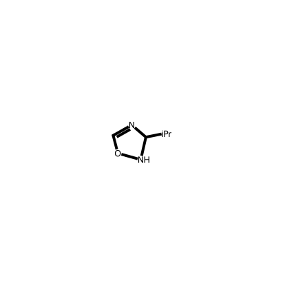 CC(C)[C]1N=CON1